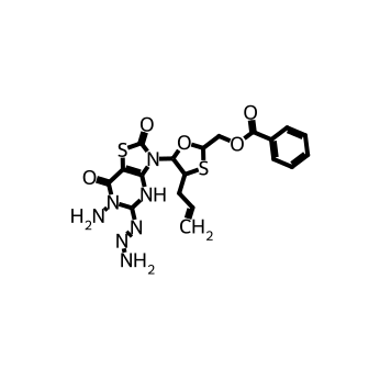 C=CCC1SC(COC(=O)c2ccccc2)OC1n1c2c(sc1=O)C(=O)N(N)C(N=NN)N2